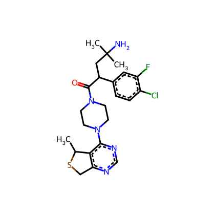 CC1SCc2ncnc(N3CCN(C(=O)C(CC(C)(C)N)c4ccc(Cl)c(F)c4)CC3)c21